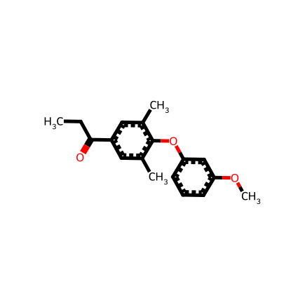 CCC(=O)c1cc(C)c(Oc2cccc(OC)c2)c(C)c1